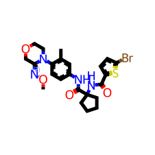 CO/N=C1/COCCN1c1ccc(NC(=O)C2(NC(=O)c3ccc(Br)s3)CCCC2)cc1C